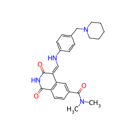 CN(C)C(=O)c1ccc2c(c1)/C(=C/Nc1ccc(CN3CCCCC3)cc1)C(=O)NC2=O